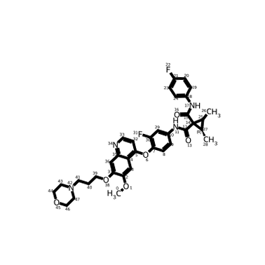 COc1cc2c(Oc3ccc(NC(=O)C4(C(=O)Nc5ccc(F)cc5)C(C)[C@H]4C)cc3F)ccnc2cc1OCCCN1CCOCC1